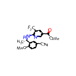 COC(=O)c1cnc(N[C@@H](C)c2cc(C#N)ccc2OC)c(C(F)(F)F)c1